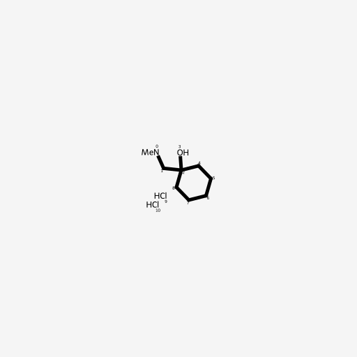 CNCC1(O)CCCCC1.Cl.Cl